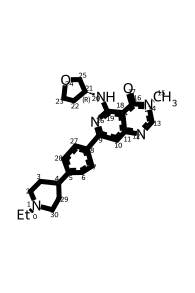 CCN1CCC(c2ccc(-c3cc4ncn(C)c(=O)c4c(N[C@@H]4CCOC4)n3)cc2)CC1